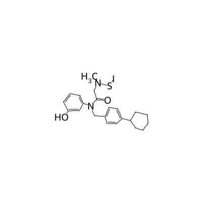 CN(CC(=O)N(Cc1ccc(C2CCCCC2)cc1)c1cccc(O)c1)SI